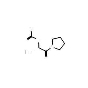 C[C@H](OC(N)=O)C(=O)N1CCCC1